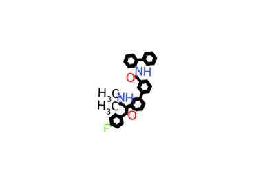 CNC(C)c1c(-c2ccc(F)cc2)oc2ccc(-c3cccc(C(=O)Nc4ccccc4-c4ccccc4)c3)cc12